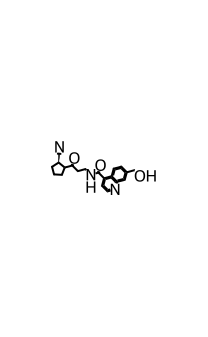 N#C[C@@H]1CCCC1C(=O)CCNC(=O)c1ccnc2cc(CO)ccc12